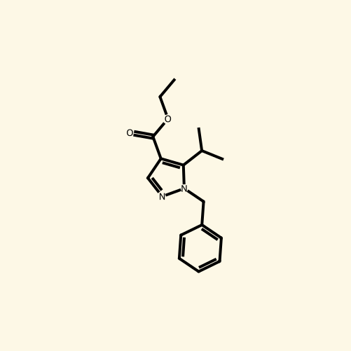 CCOC(=O)c1cnn(Cc2ccccc2)c1C(C)C